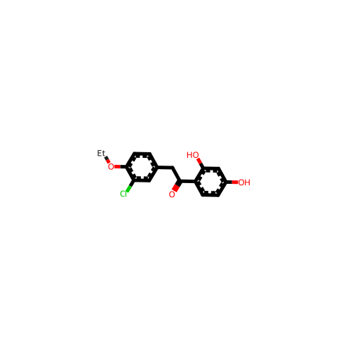 CCOc1ccc(CC(=O)c2ccc(O)cc2O)cc1Cl